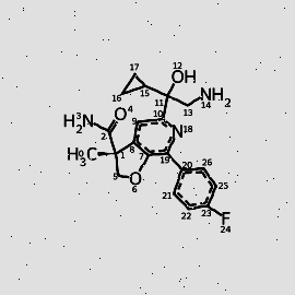 C[C@]1(C(N)=O)COc2c1cc(C(O)(CN)C1CC1)nc2-c1ccc(F)cc1